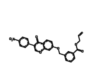 C=CCOC(=O)c1cccc(COc2ccc3c(=O)c(-c4ccc([N+](=O)[O-])cc4)coc3c2)c1